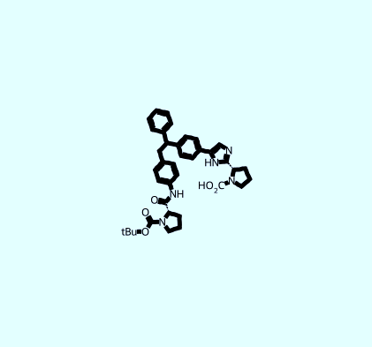 CC(C)(C)OC(=O)N1CCC[C@H]1C(=O)Nc1ccc(CC(c2ccccc2)c2ccc(-c3cnc([C@@H]4CCCN4C(=O)O)[nH]3)cc2)cc1